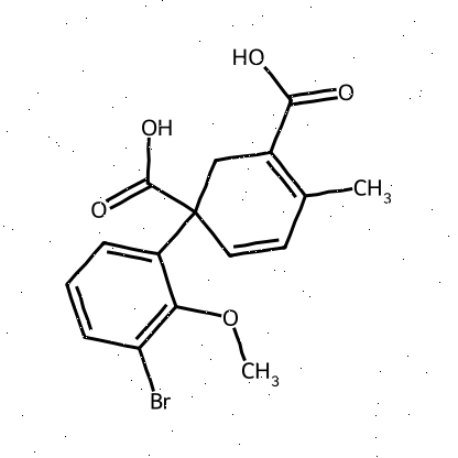 COc1c(Br)cccc1C1(C(=O)O)C=CC(C)=C(C(=O)O)C1